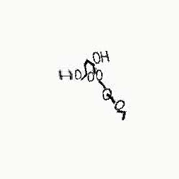 CCCOCCOCCO[C@@H]1OC(CO)CCC1O